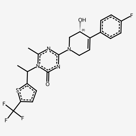 Cc1nc(N2CC=C(c3ccc(F)cc3)[C@@H](O)C2)nc(=O)n1C(C)c1ccc(C(F)(F)F)s1